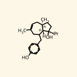 CC1=CC[C@@]2(C)CC[C@@](O)(C(C)C)[C@@H]2C(Cc2ccc(O)cc2)C1